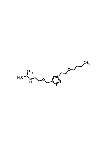 CCCCOCCn1cc(COCCNC(C)C)nn1